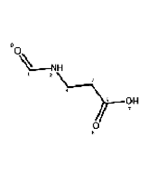 O=CNCCC(=O)O